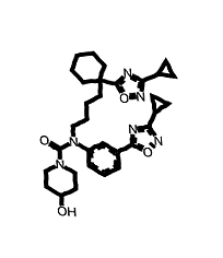 O=C(N1CCC(O)CC1)N(CCCCC1(c2nc(C3CC3)no2)CCCCC1)c1cccc(-c2nc(C3CC3)no2)c1